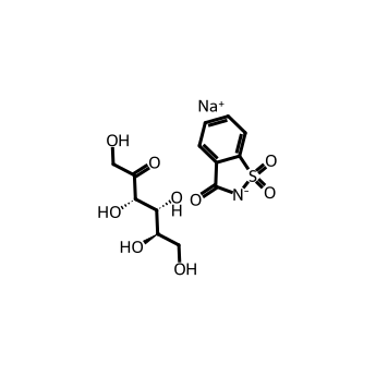 O=C(CO)[C@@H](O)[C@H](O)[C@H](O)CO.O=C1[N-]S(=O)(=O)c2ccccc21.[Na+]